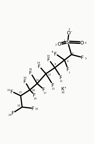 O=S(=O)([O-])C(F)C(F)(F)C(F)(F)C(F)(F)C(F)(F)C(F)(F)C(F)C(F)F.[K+]